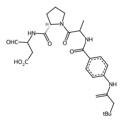 C=C(CC(C)(C)C)Nc1ccc(C(=O)NC(C)C(=O)N2CCC[C@H]2C(=O)NC(C=O)CC(=O)O)cc1